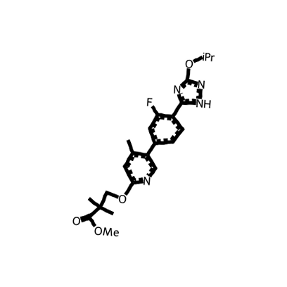 COC(=O)C(C)(C)COc1cc(C)c(-c2ccc(-c3nc(OC(C)C)n[nH]3)c(F)c2)cn1